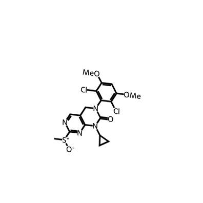 COc1cc(OC)c(Cl)c(N2Cc3cnc([S+](C)[O-])nc3N(C3CC3)C2=O)c1Cl